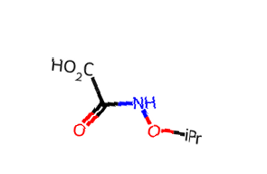 CC(C)ONC(=O)C(=O)O